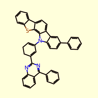 C1=C(c2nc(-c3ccccc3)c3ccccc3n2)CCC=C1n1c2ccc(-c3ccccc3)cc2c2ccc3c4ccccc4sc3c21